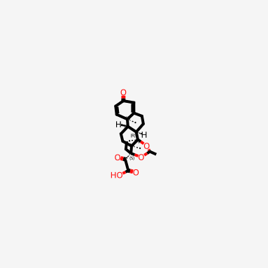 CC1O[C@@]2(C(=O)C(=O)O)CC[C@@]3(O1)[C@@H]1CCC4=CC(=O)C=C[C@]4(C)[C@H]1CC[C@]23C